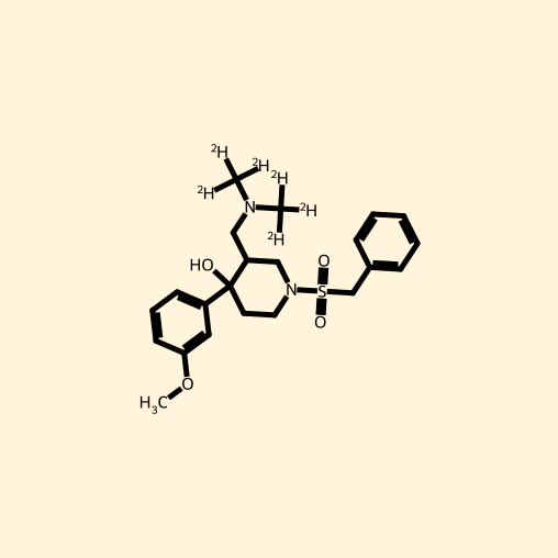 [2H]C([2H])([2H])N(CC1CN(S(=O)(=O)Cc2ccccc2)CCC1(O)c1cccc(OC)c1)C([2H])([2H])[2H]